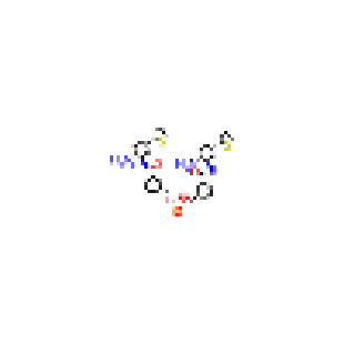 Nc1ccc(-c2cccs2)cc1NC(=O)c1cccc(CO[PH](=O)OCc2cccc(C(=O)Nc3cc(-c4cccs4)ccc3N)c2)c1